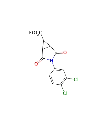 CCOC(=O)C1C2C(=O)N(c3ccc(Cl)c(Cl)c3)C(=O)C12